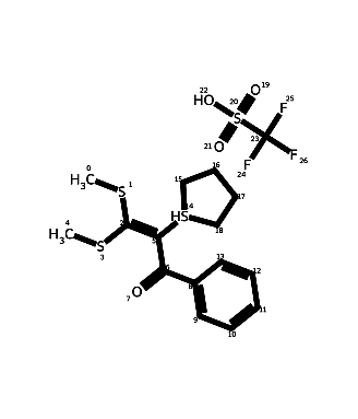 CSC(SC)=C(C(=O)c1ccccc1)[SH]1CCCC1.O=S(=O)(O)C(F)(F)F